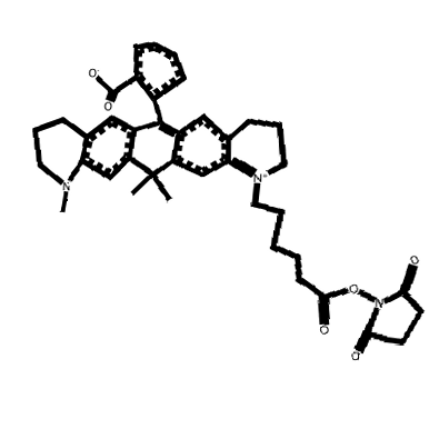 CN1CCCc2cc3c(cc21)C(C)(C)c1cc2c(cc1=C3c1ccccc1C(=O)[O-])CCC[N+]=2CCCCCC(=O)ON1C(=O)CCC1=O